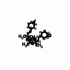 C[Si](C)(CCC1CCC2CC2C1)O[Si](C)(C)O[Si](C)(C)CCC1CCC2OC2C1